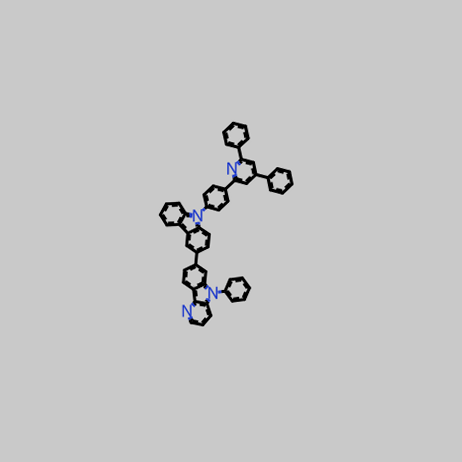 c1ccc(-c2cc(-c3ccccc3)nc(-c3ccc(-n4c5ccccc5c5cc(-c6ccc7c8ncccc8n(-c8ccccc8)c7c6)ccc54)cc3)c2)cc1